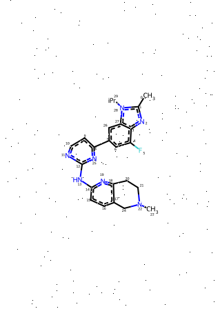 Cc1nc2c(F)cc(-c3ccnc(Nc4ccc5c(n4)CCN(C)C5)n3)cc2n1C(C)C